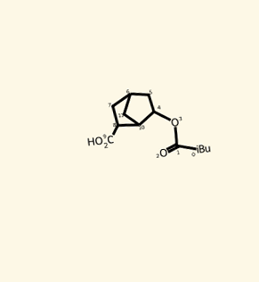 CCC(C)C(=O)OC1CC2CC(C(=O)O)C1C2